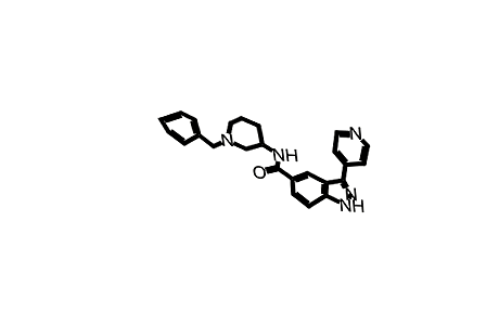 O=C(NC1CCCN(Cc2ccccc2)C1)c1ccc2[nH]nc(-c3ccncc3)c2c1